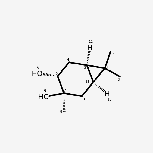 CC1(C)[C@@H]2C[C@@H](O)[C@](C)(O)C[C@@H]21